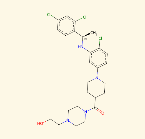 C[C@@H](Nc1cc(N2CCC(C(=O)N3CCN(CCO)CC3)CC2)ccc1Cl)c1ccc(Cl)cc1Cl